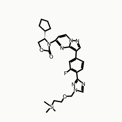 C[Si](C)(C)CCOCn1cnc(-c2ccc(-c3cnn4ccc(N5C(=O)OC[C@@H]5C5CCCC5)nc34)cc2F)n1